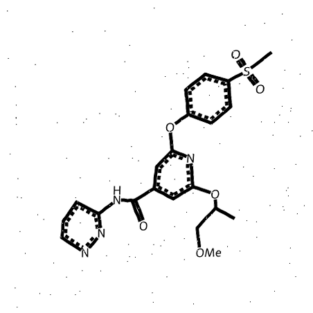 COCC(C)Oc1cc(C(=O)Nc2cccnn2)cc(Oc2ccc(S(C)(=O)=O)cc2)n1